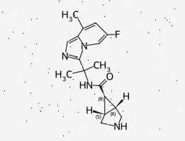 Cc1cc(F)cn2c(C(C)(C)NC(=O)[C@H]3[C@@H]4CNC[C@@H]43)ncc12